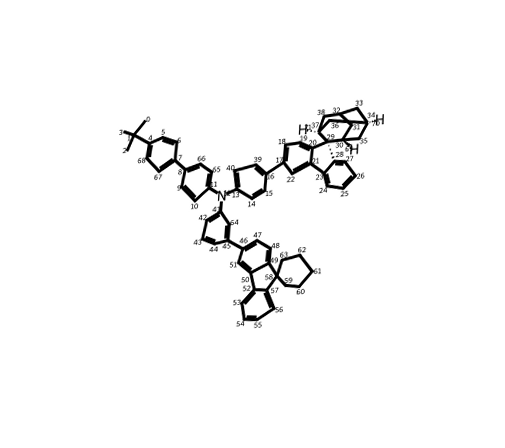 CC(C)(C)c1ccc(-c2ccc(N(c3ccc(-c4ccc5c(c4)-c4ccccc4[C@]54[C@@H]5CC6C[C@@H](C5)C[C@@H]4C6)cc3)c3cccc(-c4ccc5c(c4)-c4ccccc4C54CCCCC4)c3)cc2)cc1